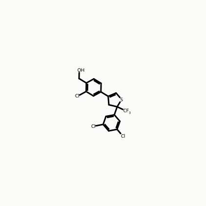 OCc1ccc(C2=CSC(c3cc(Cl)cc(Cl)c3)(C(F)(F)F)C2)cc1Cl